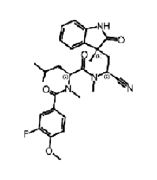 COc1ccc(C(=O)N(C)[C@@H](CC(C)C)C(=O)N(C)[C@H](C#N)C[C@@]2(C)C(=O)Nc3ccccc32)cc1F